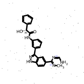 C/N=C(\N=C/N)c1ccc2[nH]nc(-c3cccc(NC(=O)[C@H](O)c4ccccc4)c3)c2c1